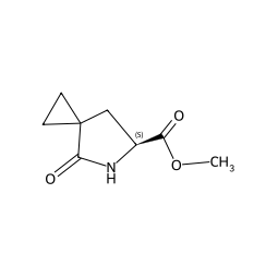 COC(=O)[C@@H]1CC2(CC2)C(=O)N1